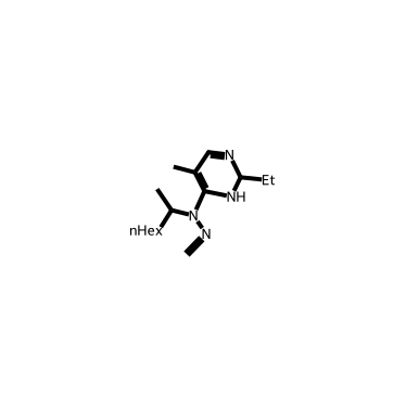 C=NN(C1=C(C)C=NC(CC)N1)C(C)CCCCCC